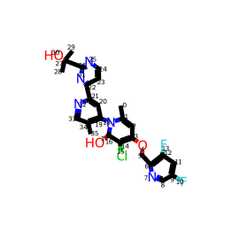 CC1=CC(OCc2ncc(F)cc2F)=C(Cl)C(O)N1c1cc(-c2ccnc(C(C)(C)O)n2)ncc1C